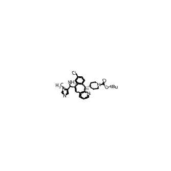 Cn1cncc1C(N)C1=Cc2cccnc2[C@@H](C2CCN(C(=O)OC(C)(C)C)CC2)c2ccc(Cl)cc21